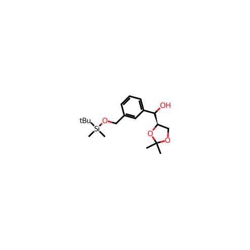 CC1(C)OC[C@H](C(O)c2cccc(CO[Si](C)(C)C(C)(C)C)c2)O1